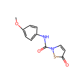 COc1ccc(NC(=O)n2ccc(=O)s2)cc1